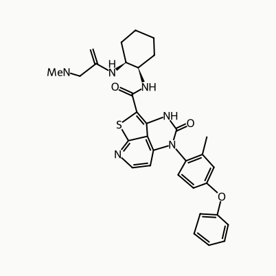 C=C(CNC)N[C@H]1CCCC[C@H]1NC(=O)c1sc2nccc3c2c1NC(=O)N3c1ccc(Oc2ccccc2)cc1C